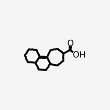 O=C(O)C1CCC2=C3CCCCC3CCC2CC1